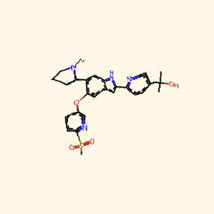 CC(=O)N1CCCC1c1cc2[nH]c(-c3ccc(C(C)(C)O)cn3)cc2cc1Oc1ccc(S(C)(=O)=O)nc1